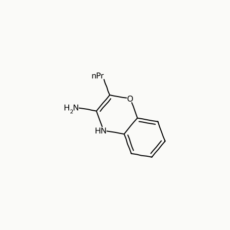 CCCC1=C(N)Nc2ccccc2O1